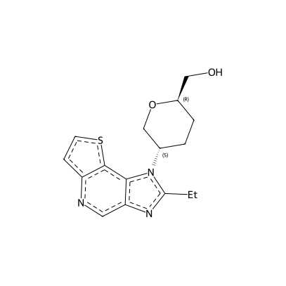 CCc1nc2cnc3ccsc3c2n1[C@H]1CC[C@H](CO)OC1